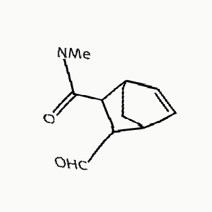 CNC(=O)C1C2C=CC(C2)C1C=O